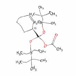 CC(=O)OC(O[Si](C)(C)C(C)(C)C)(O[Si](C)(C)C(C)(C)C)[C@@H]1C=CCCC1